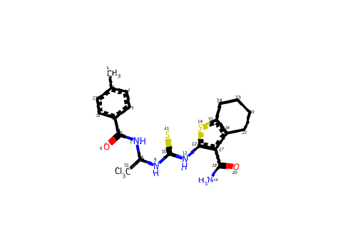 Cc1ccc(C(=O)NC(NC(=S)Nc2sc3c(c2C(N)=O)CCCC3)C(Cl)(Cl)Cl)cc1